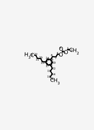 C=COC(=O)OCCCc1cc(CCCCC)cc(CCCCC)c1